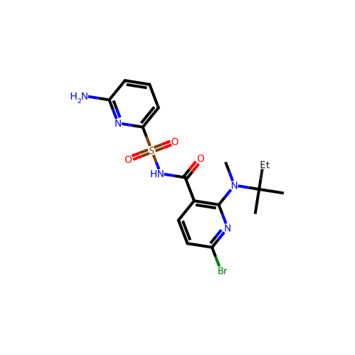 CCC(C)(C)N(C)c1nc(Br)ccc1C(=O)NS(=O)(=O)c1cccc(N)n1